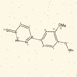 CCCCOc1ccc(-c2ccc(=O)[nH]n2)cc1OC